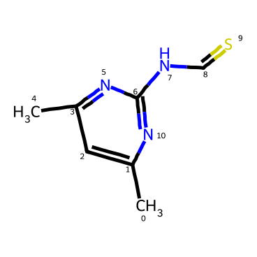 Cc1cc(C)nc(NC=S)n1